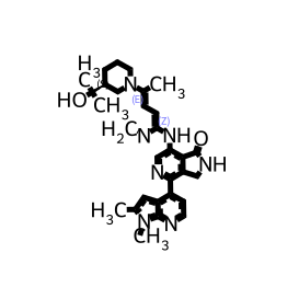 C=N/C(=C\C=C(/C)N1CCC[C@H](C(C)(C)O)C1)Nc1cnc(-c2ccnc3c2cc(C)n3C)c2c1C(=O)NC2